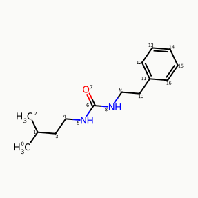 CC(C)CCNC(=O)NCCc1ccccc1